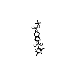 Cc1nc(C)c(S(=O)(=O)n2cc3c(n2)CN(C(=O)OC(C)(C)C)C3)s1